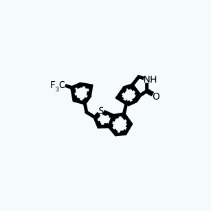 O=C1NCc2ccc(-c3cccc4cc(Cc5cccc(C(F)(F)F)c5)sc34)cc21